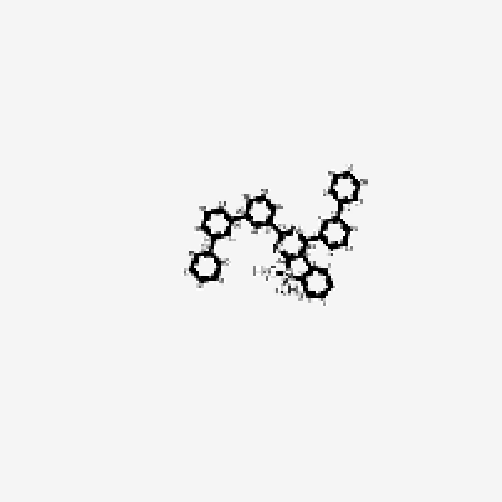 C[Si]1(C)c2ccccc2-c2c(-c3cccc(-c4ccccc4)c3)nc(-c3cccc(-c4cccc(-c5ccccc5)c4)c3)nc21